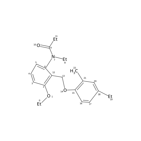 CCOc1cccc(N(CC)C(=O)CC)c1COc1ccc(CC)cc1C